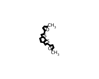 Cc1ccc(-c2cc3ccc4cc(-c5ccc(C)o5)sc4c3s2)o1